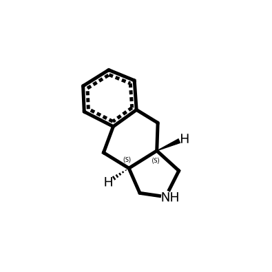 c1ccc2c(c1)C[C@@H]1CNC[C@H]1C2